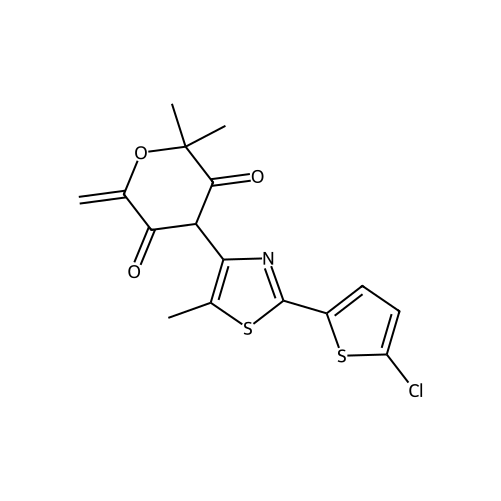 C=C1OC(C)(C)C(=O)C(c2nc(-c3ccc(Cl)s3)sc2C)C1=O